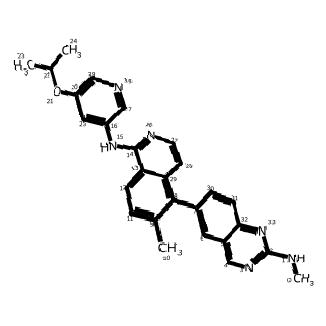 CNc1ncc2cc(-c3c(C)ccc4c(Nc5cncc(OC(C)C)c5)nccc34)ccc2n1